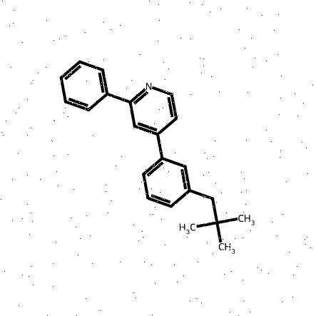 CC(C)(C)Cc1cccc(-c2ccnc(-c3ccccc3)c2)c1